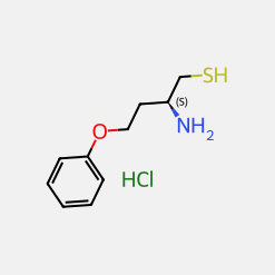 Cl.N[C@H](CS)CCOc1ccccc1